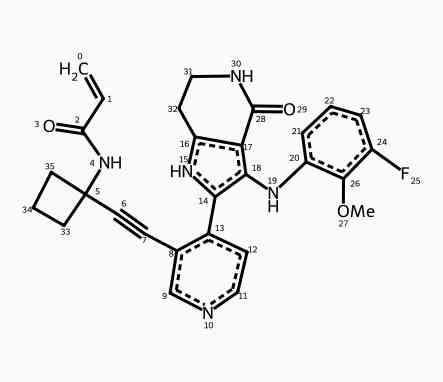 C=CC(=O)NC1(C#Cc2cnccc2-c2[nH]c3c(c2Nc2cccc(F)c2OC)C(=O)NCC3)CCC1